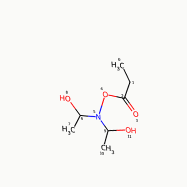 CCC(=O)ON(C(C)O)C(C)O